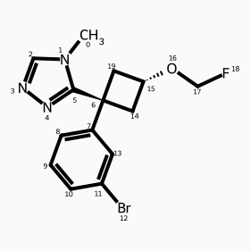 Cn1cnnc1[C@]1(c2cccc(Br)c2)C[C@@H](OCF)C1